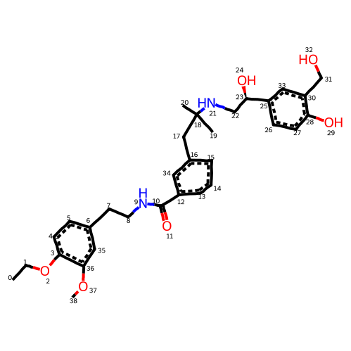 CCOc1ccc(CCNC(=O)c2cccc(CC(C)(C)NC[C@@H](O)c3ccc(O)c(CO)c3)c2)cc1OC